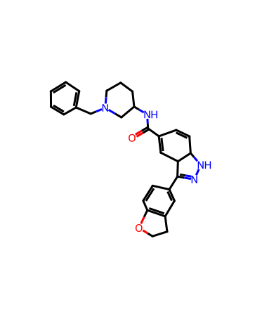 O=C(NC1CCCN(Cc2ccccc2)C1)C1=CC2C(c3ccc4c(c3)CCO4)=NNC2C=C1